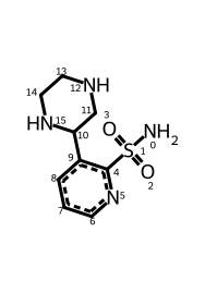 NS(=O)(=O)c1ncccc1C1CNCCN1